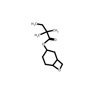 CCC(C)(C)C(=O)OC1CCC2OCC2C1